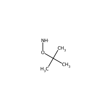 CC(C)(C)O[NH]